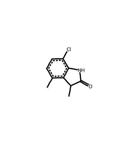 Cc1ccc(Cl)c2c1C(C)C(=O)N2